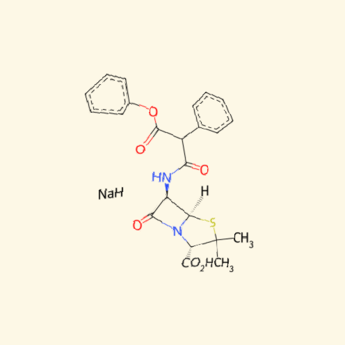 CC1(C)S[C@@H]2[C@H](NC(=O)C(C(=O)Oc3ccccc3)c3ccccc3)C(=O)N2[C@H]1C(=O)O.[NaH]